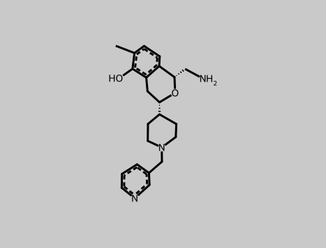 Cc1ccc2c(c1O)C[C@@H](C1CCN(Cc3cccnc3)CC1)O[C@H]2CN